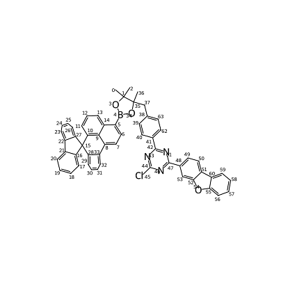 CC1(C)OB(c2ccc3c4c(cccc24)C2(c4ccccc4-c4ccccc42)c2ccccc2-3)OC1(C)Cc1ccc(-c2nc(Cl)nc(-c3ccc4c(c3)oc3ccccc34)n2)cc1